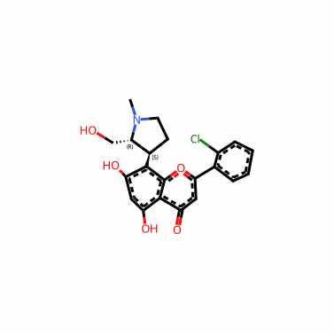 CN1CC[C@@H](c2c(O)cc(O)c3c(=O)cc(-c4ccccc4Cl)oc23)[C@@H]1CO